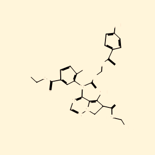 CCNC(=O)c1ccc(C)c(N(C(=O)OCOC(=O)c2ccc(O)cc2)C2=NC=NN3CC(C(=O)NCC)C(C)=C23)c1